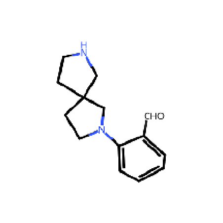 O=Cc1ccccc1N1CCC2(CCNC2)C1